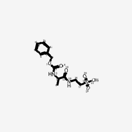 CC(NC(=O)OCc1ccccc1)C(=O)NCCS(=O)(=O)O